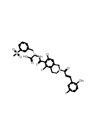 CS(=O)(=O)c1cccc(C[C@H](NC(=O)c2c(Cl)cc3c(c2Cl)CCN(C(=O)/C=C/c2cc(F)ccc2O)C3)C(=O)O)c1